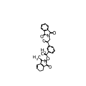 C=C(ON1C(=C)C2=C(CCC=C2)C1=O)c1cccc(C(=O)CN2C(=O)c3ccccc3C2=O)c1